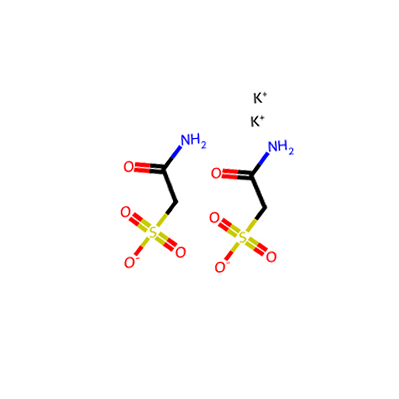 NC(=O)CS(=O)(=O)[O-].NC(=O)CS(=O)(=O)[O-].[K+].[K+]